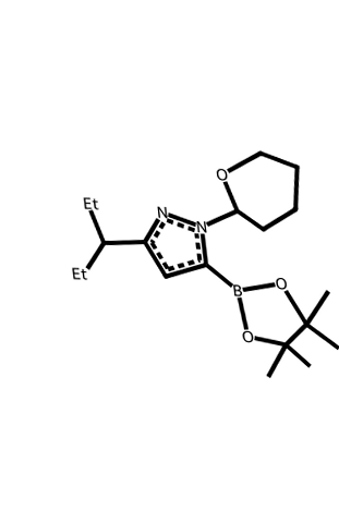 CCC(CC)c1cc(B2OC(C)(C)C(C)(C)O2)n(C2CCCCO2)n1